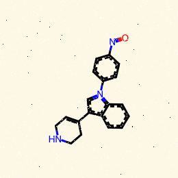 O=Nc1ccc(-n2cc(C3=CCNCC3)c3ccccc32)cc1